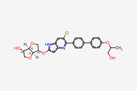 CC(CO)Oc1ccc(-c2ccc(-c3nc4cc(O[C@@H]5CO[C@H]6[C@@H]5OC[C@H]6O)[nH]c4cc3Cl)cc2)cc1